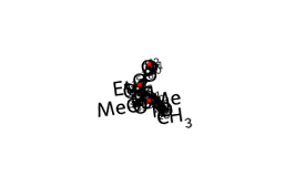 CCOc1cc(OCCOC2CCCCO2)c(F)c(C(=Nc2ccc(-c3noc(C)n3)cc2)C(=NC(=O)OC)SC)c1